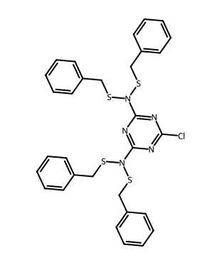 Clc1nc(N(SCc2ccccc2)SCc2ccccc2)nc(N(SCc2ccccc2)SCc2ccccc2)n1